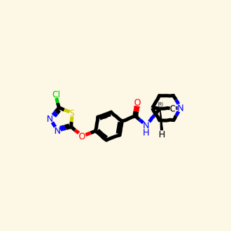 O=C(N[C@H]1CN2CCC1CC2)c1ccc(Oc2nnc(Cl)s2)cc1